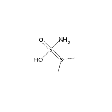 CS(C)=S(N)(=O)O